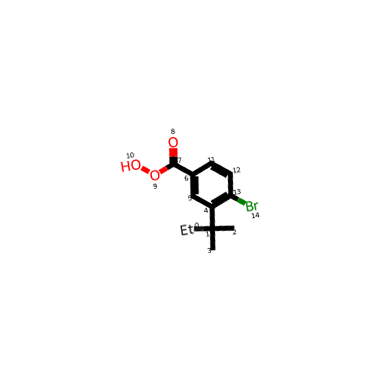 CCC(C)(C)c1cc(C(=O)OO)ccc1Br